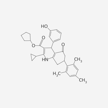 Cc1cc(C)c(C2CC(=O)C3=C(C2)NC(C2CC2)=C(C(=O)OC2CCCC2)C3c2cccc(O)c2)c(C)c1